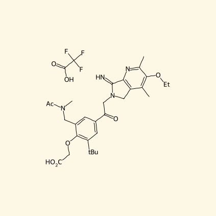 CCOc1c(C)nc2c(c1C)CN(CC(=O)c1cc(CN(C)C(C)=O)c(OCC(=O)O)c(C(C)(C)C)c1)C2=N.O=C(O)C(F)(F)F